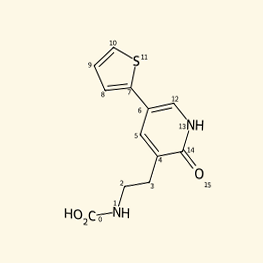 O=C(O)NCCc1cc(-c2cccs2)c[nH]c1=O